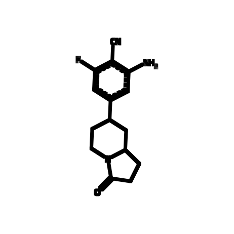 N#Cc1c(N)cc(C2CCN3C(=O)CCC3C2)cc1F